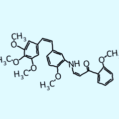 COc1ccc(/C=C\c2cc(OC)c(OC)c(OC)c2)cc1N/C=C\C(=O)c1ccccc1OC